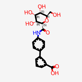 O=C(O)c1cccc(-c2ccc(NC(=O)[C@H]3O[C@H](CO)[C@@H](O)[C@@H](O)[C@H]3O)cc2)c1